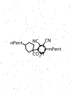 CCCCCc1ccc(C2(C(=O)O)CCC(CCCCC)CC2)c(C#N)c1C#N